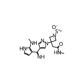 CNC(=O)CC1(n2cc(C(=N)c3cc[nH]c3NC)cn2)CN([S+](C)[O-])C1